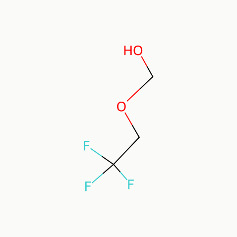 OCOCC(F)(F)F